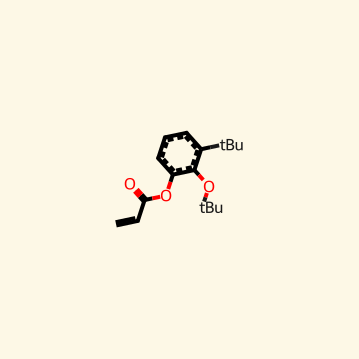 C=CC(=O)Oc1cccc(C(C)(C)C)c1OC(C)(C)C